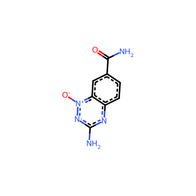 NC(=O)c1ccc2nc(N)n[n+]([O-])c2c1